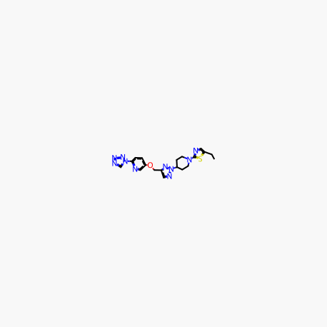 CCc1cnc(N2CCC(n3ncc(COc4ccc(-n5cnnn5)nc4)n3)CC2)s1